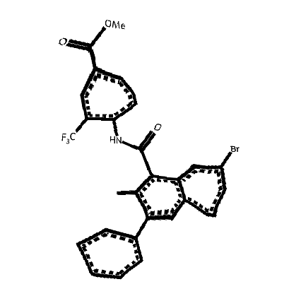 COC(=O)c1ccc(NC(=O)c2c(C)c(-c3ccccc3)cc3ccc(Br)cc23)c(C(F)(F)F)c1